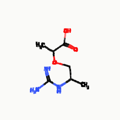 CC(COC(C)C(=O)O)NC(=N)N